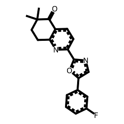 CC1(C)CCc2nc(-c3ncc(-c4cccc(F)c4)o3)ccc2C1=O